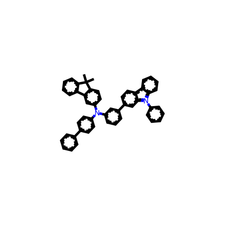 CC1(C)c2ccccc2-c2cc(N(c3ccc(-c4ccccc4)cc3)c3cccc(-c4ccc5c6ccccc6n(-c6ccccc6)c5c4)c3)ccc21